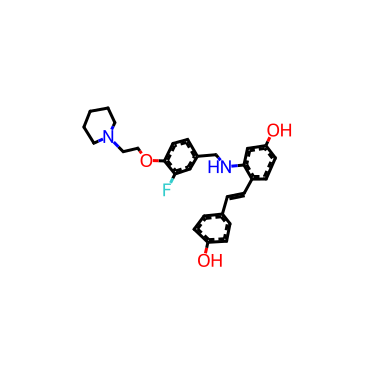 Oc1ccc(/C=C/c2ccc(O)cc2NCc2ccc(OCCN3CCCCC3)c(F)c2)cc1